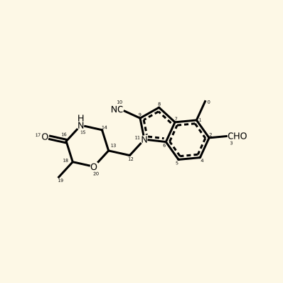 Cc1c(C=O)ccc2c1cc(C#N)n2CC1CNC(=O)C(C)O1